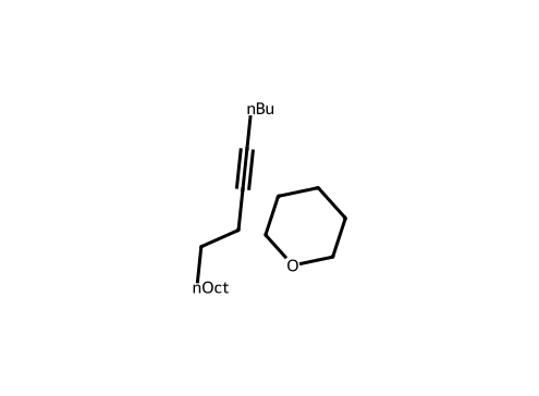 C1CCOCC1.CCCCC#CCCCCCCCCCC